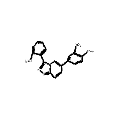 COc1ccccc1-c1nnc2ccc(-c3ccc(OC)c([N+](=O)[O-])c3)cn12